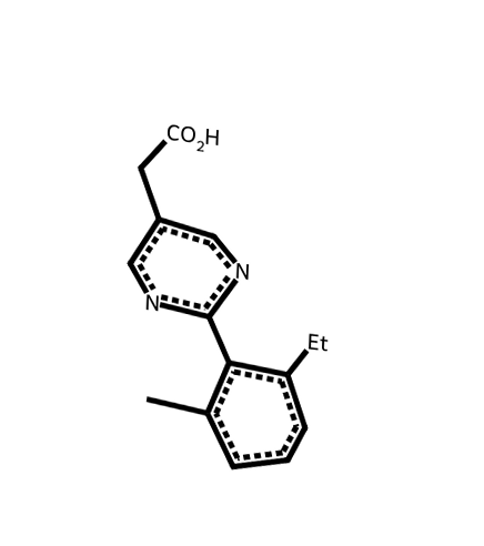 CCc1cccc(C)c1-c1ncc(CC(=O)O)cn1